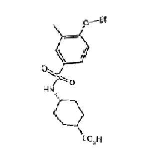 CCOc1ccc(S(=O)(=O)N[C@H]2CC[C@H](C(=O)O)CC2)cc1C